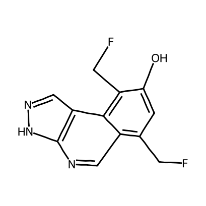 Oc1cc(CF)c2cnc3[nH]ncc3c2c1CF